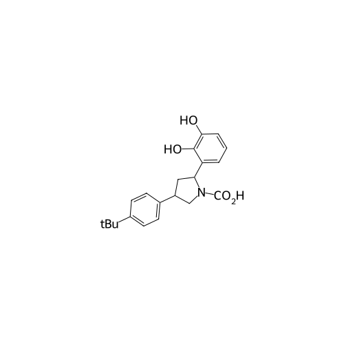 CC(C)(C)c1ccc(C2CC(c3cccc(O)c3O)N(C(=O)O)C2)cc1